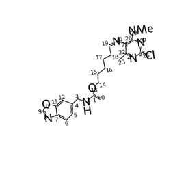 C=C(NCc1ccc2ncoc2c1)OCCCCC/C=N\c1c(C)nc(Cl)nc1NC